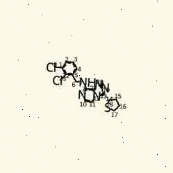 Clc1cccc(CNc2nccn3c([C@@H]4CCCS4)nnc23)c1Cl